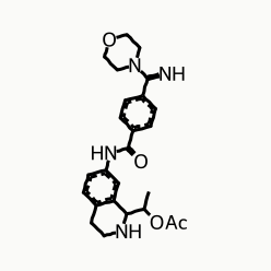 CC(=O)OC(C)C1NCCc2ccc(NC(=O)c3ccc(C(=N)N4CCOCC4)cc3)cc21